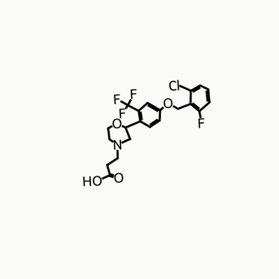 O=C(O)CCN1CCOC(c2ccc(OCc3c(F)cccc3Cl)cc2C(F)(F)F)C1